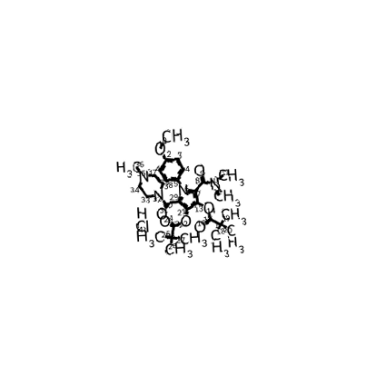 COc1ccc(-n2c(C(=O)N(C)C)c(OC(=O)C(C)(C)C)c(OC(=O)C(C)(C)C)c2C(=O)N2CCN(C)CC2)cc1.Cl